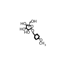 COc1ccc(CO[C@@H]2O[C@H](CO)[C@H](O)[C@H](O)[C@H]2O)cc1